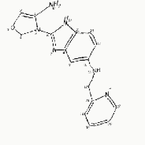 NC1=CO[CH]N1c1nc2cc(NCc3ccccn3)ccc2[nH]1